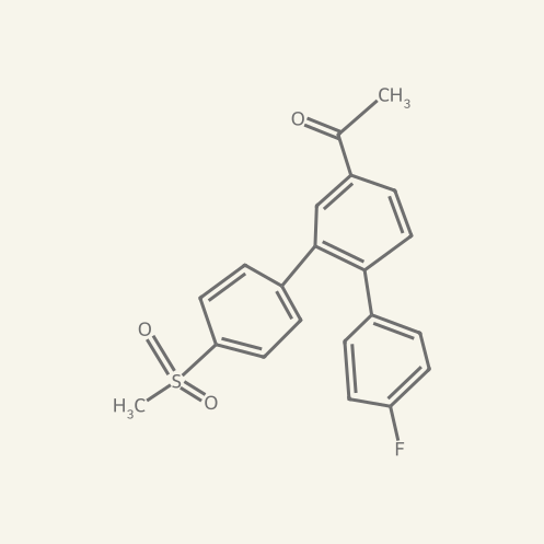 CC(=O)c1ccc(-c2ccc(F)cc2)c(-c2ccc(S(C)(=O)=O)cc2)c1